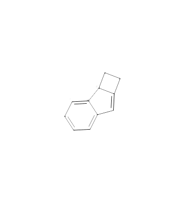 [C]1=C2CCC2c2ccccc21